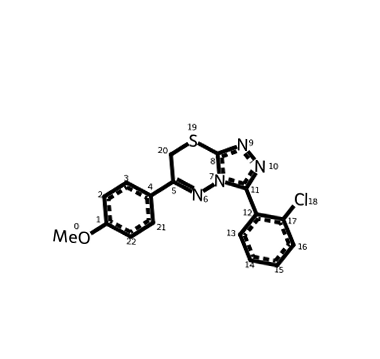 COc1ccc(C2=Nn3c(nnc3-c3ccccc3Cl)SC2)cc1